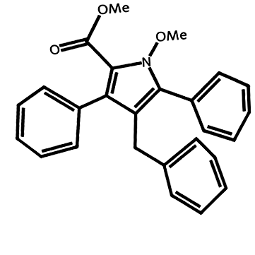 COC(=O)c1c(-c2ccccc2)c(Cc2ccccc2)c(-c2ccccc2)n1OC